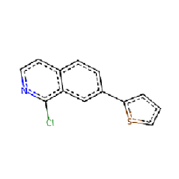 Clc1nccc2ccc(-c3cccs3)cc12